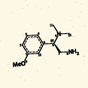 COc1cccc([C@H](CN)N(C)C)c1